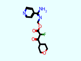 N/C(=N/COC(=O)C(F)C(=O)C1CCOCC1)c1ccncc1